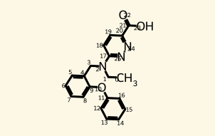 CCN(Cc1ccccc1Oc1ccccc1)c1ccc(C(=O)O)nn1